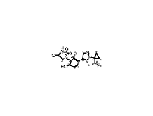 O=C1CN(c2c(O)ccc(-c3cnn(C4(C(F)F)CC4)c3)c2F)S(=O)(=O)N1